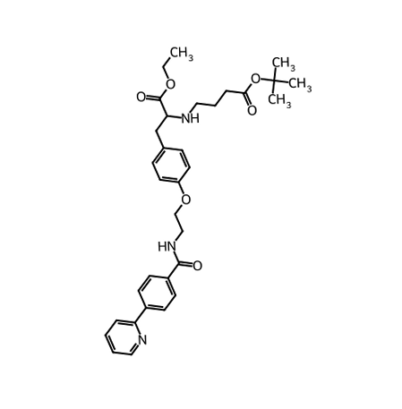 CCOC(=O)C(Cc1ccc(OCCNC(=O)c2ccc(-c3ccccn3)cc2)cc1)NCCCC(=O)OC(C)(C)C